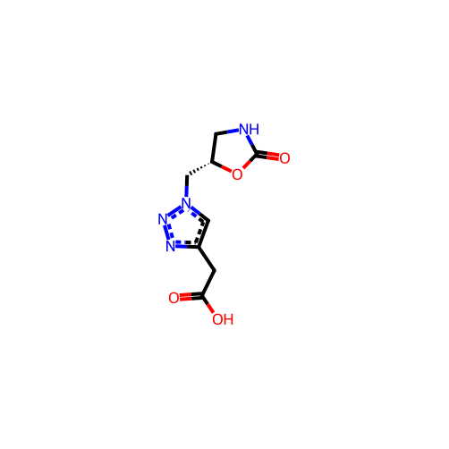 O=C(O)Cc1cn(C[C@@H]2CNC(=O)O2)nn1